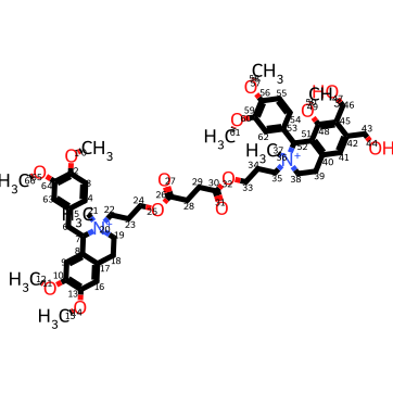 COc1ccc(CC2c3cc(OC)c(OC)cc3CC[N+]2(C)CCCOC(=O)CCC(=O)OCCC[N+]2(C)CCc3cc(CO)c(CO)c(OC)c3C2c2ccc(OC)c(OC)c2)cc1OC